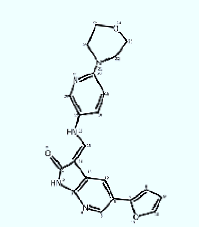 O=C1Nc2ncc(-c3ccco3)cc2C1=CNc1ccc(N2CCOCC2)nc1